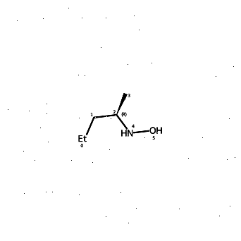 CCC[C@@H](C)NO